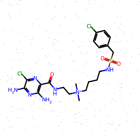 C[N+](C)(CCCCNS(=O)(=O)Cc1ccc(Cl)cc1)CCNC(=O)c1nc(Cl)c(N)nc1N